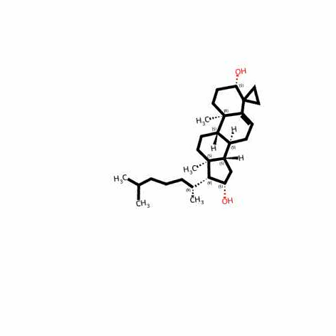 CC(C)CCC[C@@H](C)[C@H]1[C@@H](O)C[C@H]2[C@@H]3CC=C4C5(CC5)[C@@H](O)CC[C@]4(C)[C@H]3CC[C@]12C